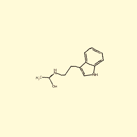 CC(O)NCCc1c[nH]c2ccccc12